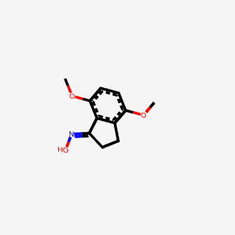 COc1ccc(OC)c2c1CCC2=NO